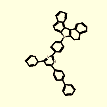 C1=CCC(c2cc(-c3ccc(-c4ccccc4)cc3)nc(-c3ccc(-n4c5c(c6c7ccccc7ccc64)-c4ccccc4CC5)cc3)n2)C=C1